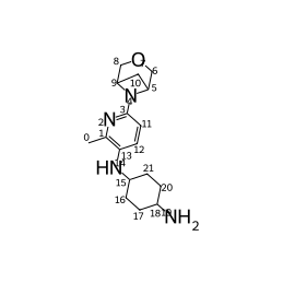 Cc1nc(N2C3COCC2C3)ccc1NC1CCC(N)CC1